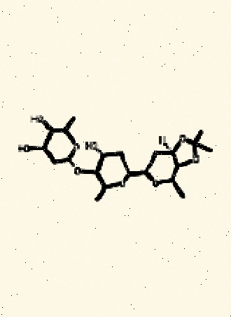 CC1O[C@H](OC2C(C)O[C@H]([C@H]3C[C@H]4OC(C)(C)OC4C(C)O3)C[C@H]2O)C[C@@H](O)C1O